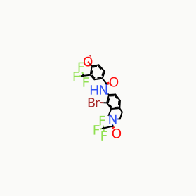 COc1ccc(C(=O)Nc2ccc3c(c2Br)CN(C(=O)C(F)(F)F)CC3)cc1C(F)(F)F